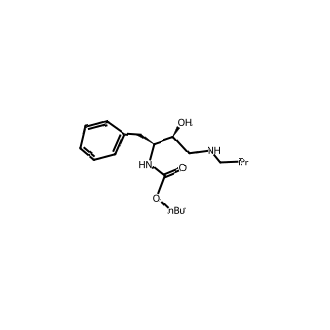 CCCCOC(=O)N[C@@H](Cc1ccccc1)[C@@H](O)CNCC(C)C